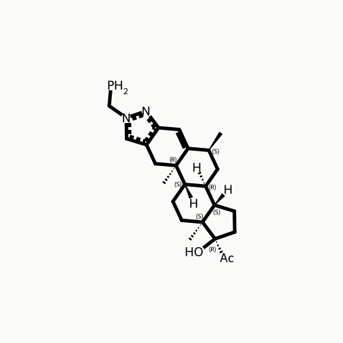 CC(=O)[C@@]1(O)CC[C@H]2[C@@H]3C[C@H](C)C4=Cc5nn(CP)cc5C[C@]4(C)[C@H]3CC[C@@]21C